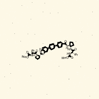 COC(=O)N[C@H](C(=O)N[C@H]1CCC[C@@H]1NC(=O)c1ccc(-c2ccc(-c3ccc4[nH]c([C@@H]5CCCN5C(=O)[C@@H](NC(=O)OC)C(C)C)nc4c3)cc2)cc1)C(C)C